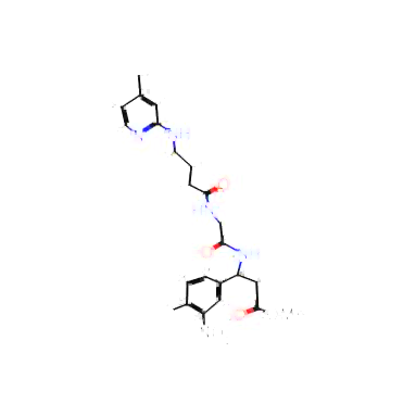 COC(=O)CC(NC(=O)CNC(=O)CCCNc1cc(C)ccn1)c1ccc(C)c([N+](=O)[O-])c1